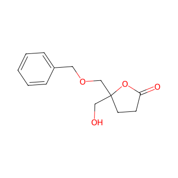 O=C1CCC(CO)(COCc2ccccc2)O1